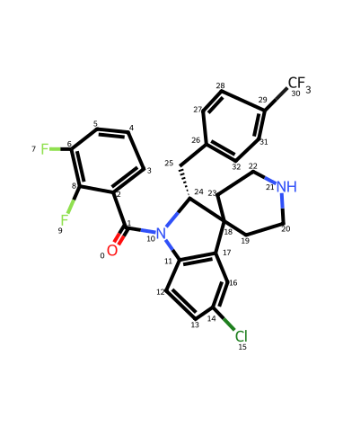 O=C(c1cccc(F)c1F)N1c2ccc(Cl)cc2C2(CCNCC2)[C@H]1Cc1ccc(C(F)(F)F)cc1